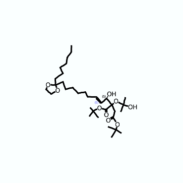 CCCCCCCC1(CCCCCC/C=C/[C@H](O)C(CC(=O)OC(C)(C)C)(OC(C)(C)O)C(=O)OC(C)(C)C)OCCO1